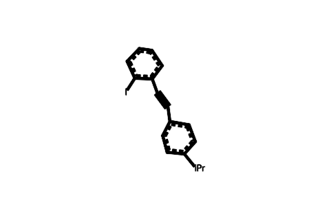 CC(C)c1ccc(C#Cc2ccccc2I)cc1